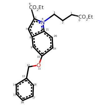 CCOC(=O)CCCn1c(C(=O)OCC)cc2cc(OCc3ccccc3)ccc21